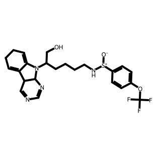 [O-][S+](NCCCCC(CO)N1C2=CCCC=C2C2C=NC=NC21)c1ccc(OC(F)(F)F)cc1